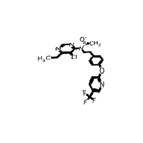 CCc1ncnc(N(CCc2ccc(Oc3ccc(C(F)(F)F)cn3)cc2)[S+](C)[O-])c1Cl